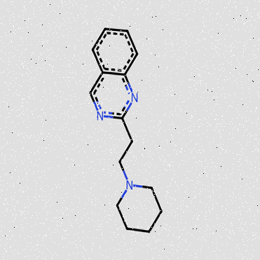 c1ccc2nc(CCN3CCCCC3)ncc2c1